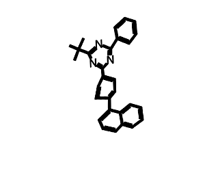 CC(C)(C)c1nc(-c2ccccc2)nc(-c2ccc(-c3cccc4ccccc34)cc2)n1